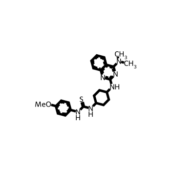 COc1ccc(NC(=S)NC2CCC(Nc3nc(N(C)C)c4ccccc4n3)CC2)cc1